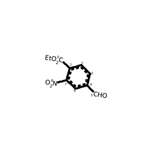 CCOC(=O)c1ccc(C=O)cc1[N+](=O)[O-]